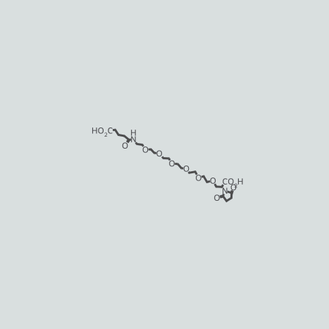 O=C(O)CCCC(=O)NCCOCCOCCOCCOCCOCCOCC(C(=O)O)N1C(=O)CCC1=O